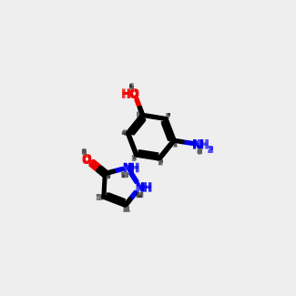 Nc1cccc(O)c1.O=c1cc[nH][nH]1